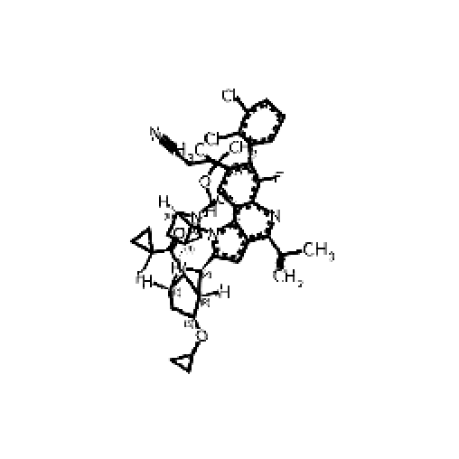 C=C(C)c1nc2c(F)c(-c3cccc(Cl)c3Cl)c(CCC#N)cc2c2c1cc([C@H]1[C@H]3C[C@H](C[C@@H]3OC3CC3)N1C(=O)C1(F)CC1)n2[C@H]1[C@@H]2C[C@H]1N(C(=O)OC(C)(C)C)C2